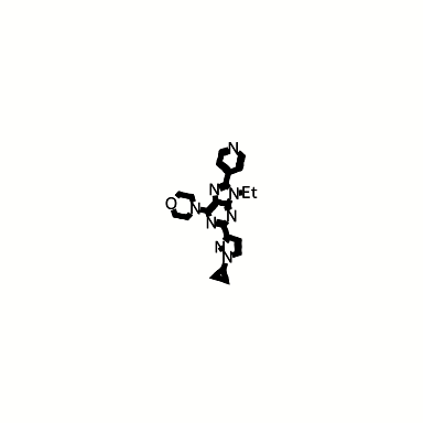 CCn1c(-c2ccncc2)nc2c(N3CCOCC3)nc(-c3ccn(C4CC4)n3)nc21